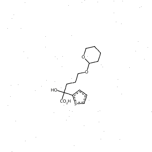 O=C(O)C(O)(CCCOC1CCCCO1)c1cccs1